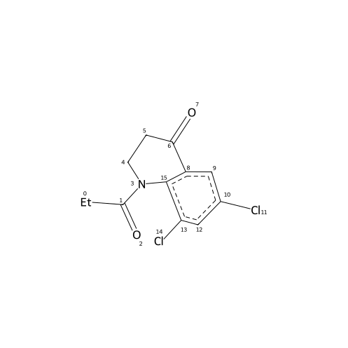 CCC(=O)N1CCC(=O)c2cc(Cl)cc(Cl)c21